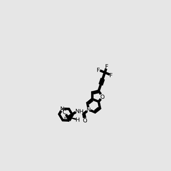 O=C(N[C@H]1CN2CCC1CC2)N1C=CC2OC(C#CC(F)(F)F)=CC2=C1